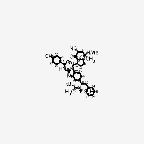 CNC(C)(C)C=C(C#N)C(=O)N1CCCC1Cn1c(NC(=O)c2ccc(Cl)cc2)nc2cc(C(Cc3ccccc3)N(C(=O)O)[C@@H](C)C(C)(C)C)ccc21